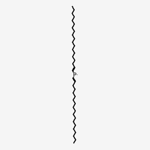 CCCCCCCCCCCCCCCCCC=C[P]C=CCCCCCCCCCCCCCCCCC